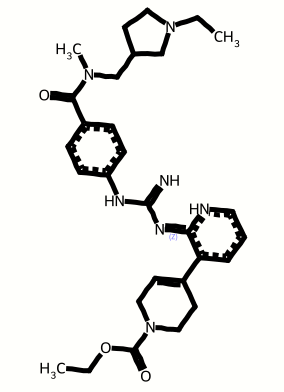 CCOC(=O)N1CC=C(c2ccc[nH]/c2=N\C(=N)Nc2ccc(C(=O)N(C)CC3CCN(CC)C3)cc2)CC1